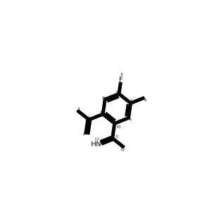 C=C(C)c1cc(F)c(C)cc1C(C)=N